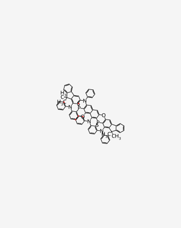 CC1(C)c2ccccc2-c2cc3c4c(c21)N(c1ccccc1)c1cccc2c1P4(=S)c1c(cc4cc5c6c(c4c1N2c1ccccc1)Oc1cccc2c1P6(=S)c1c(cc4c(c1N2c1ccccc1)C(C)(C)c1ccccc1-4)N5c1ccccc1)O3